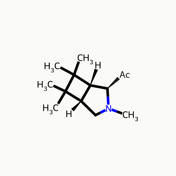 CC(=O)[C@@H]1[C@@H]2[C@H](CN1C)C(C)(C)C2(C)C